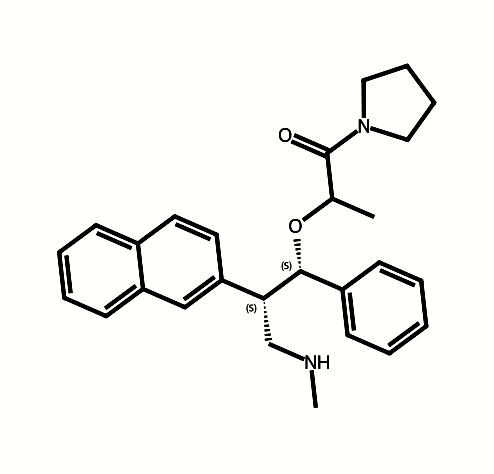 CNC[C@H](c1ccc2ccccc2c1)[C@H](OC(C)C(=O)N1CCCC1)c1ccccc1